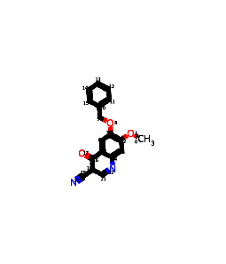 COc1cc2c(cc1OCc1ccccc1)C(=O)C(C#N)C=N2